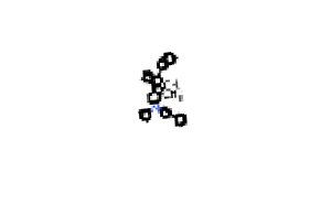 CC1(C)c2cc(N(c3ccccc3)c3ccc(-c4ccccc4)cc3)ccc2-c2c1cc(-c1ccc3ccccc3c1)c1ccccc21